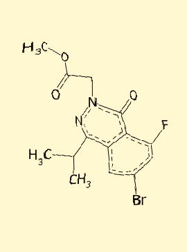 COC(=O)Cn1nc(C(C)C)c2cc(Br)cc(F)c2c1=O